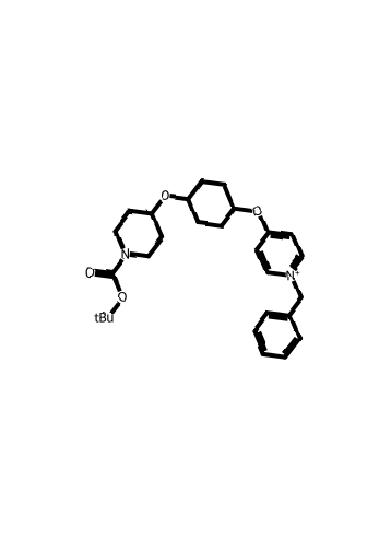 CC(C)(C)OC(=O)N1CCC(OC2CCC(Oc3cc[n+](Cc4ccccc4)cc3)CC2)CC1